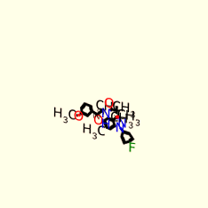 COc1cccc([C@@H](Oc2cc3cnn(-c4ccc(F)cc4)c3cc2C)[C@H](C)NC(=O)C(C)(C)C)c1